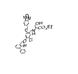 CCOC(=O)C(CO)NCc1cc(Cl)c(OCc2cccc(-c3ccccc3)c2Br)cc1OCc1ccc2nonc2c1